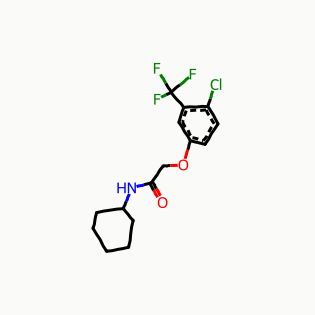 O=C(COc1ccc(Cl)c(C(F)(F)F)c1)NC1CCCCC1